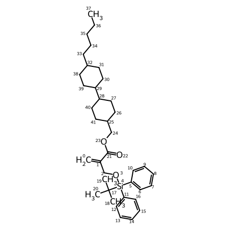 C=C(CO[Si](c1ccccc1)(c1ccccc1)C(C)(C)C)C(=O)OCC1CCC(C2CCC(CCCCC)CC2)CC1